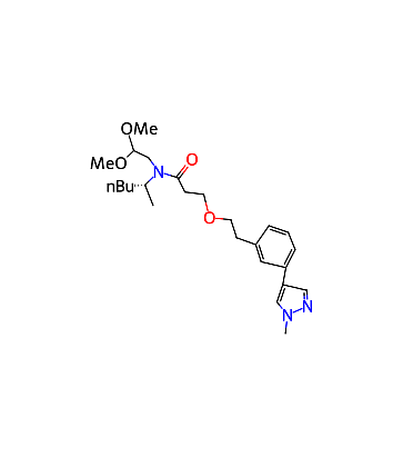 CCCC[C@@H](C)N(CC(OC)OC)C(=O)CCOCCc1cccc(-c2cnn(C)c2)c1